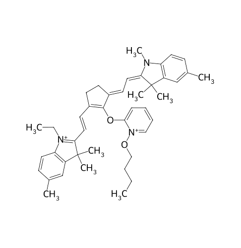 CCCCO[n+]1ccccc1OC1=C(/C=C/C2=[N+](CC)c3ccc(C)cc3C2(C)C)CC/C1=C\C=C1\N(C)c2ccc(C)cc2C1(C)C